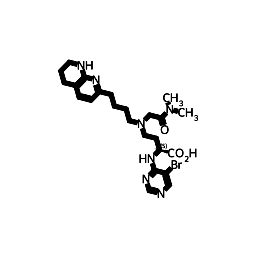 CN(C)C(=O)CN(CCCCc1ccc2c(n1)NCCC2)CC[C@H](Nc1ncncc1Br)C(=O)O